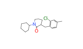 Cc1ccc(CC2CCCN(C3CCCCC3)C2=O)c(Cl)c1